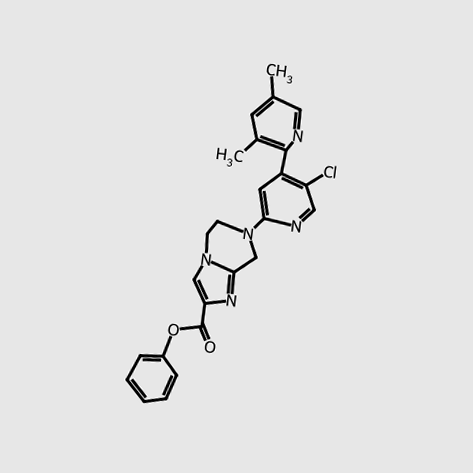 Cc1cnc(-c2cc(N3CCn4cc(C(=O)Oc5ccccc5)nc4C3)ncc2Cl)c(C)c1